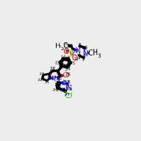 C=CC(N1CCN(C)CC1)S(=O)(=O)c1ccc(C(CC2CCCC2)C(=O)Nc2ccc(Cl)nn2)cc1